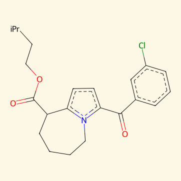 CC(C)CCOC(=O)C1CCCCn2c(C(=O)c3cccc(Cl)c3)ccc21